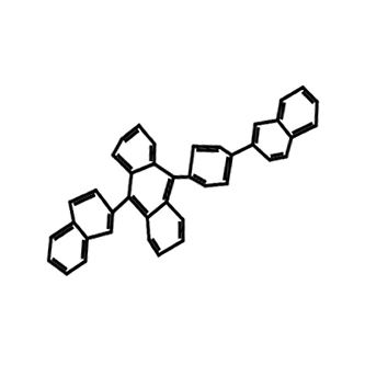 c1ccc2cc(-c3ccc(-c4c5ccccc5c(-c5ccc6ccccc6c5)c5ccccc45)cc3)ccc2c1